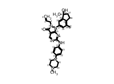 C=CCn1c(=O)c2cnc(Nc3ccc(N4CCN(C)CC4)cc3)nc2n1-c1cc(F)c2c(c1)[C@@](C)(O)CC2